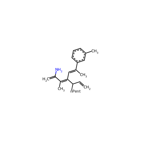 C=CC(CCCCC)C(/C=C(\C)c1cccc(C)c1)=C(\C)C(=C)N